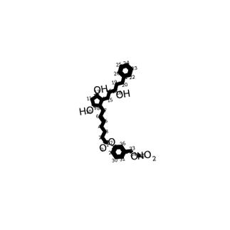 O=C(CCCC=CCC1C(O)CC(O)C1CCC(O)CCc1ccccc1)Oc1cccc(CO[N+](=O)[O-])c1